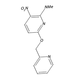 CNc1nc(OCc2ccccn2)ccc1[N+](=O)[O-]